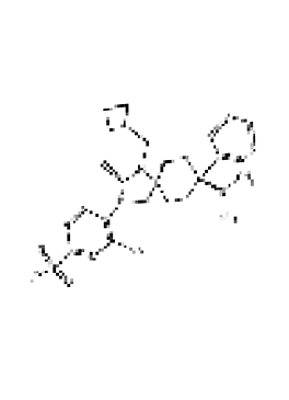 CN(C)[C@]1(c2ccccc2)CC[C@@]2(CC1)CN(c1cnc(S(C)(=O)=O)nc1C#N)C(=O)N2CC1CCC1